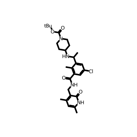 Cc1cc(C)c(CNC(=O)c2cc(Cl)cc(C(C)NC3CCN(C(=O)OC(C)(C)C)CC3)c2C)c(=O)[nH]1